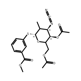 COC(=O)c1cccc(S[C@H]2OC(COC(C)=O)[C@H](OC(C)=O)[C@H](N=[N+]=[N-])C2C)c1